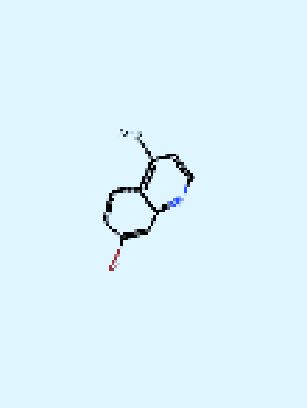 CC(=O)Oc1ccnc2cc(Br)ccc12